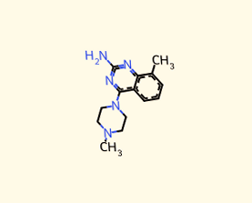 Cc1cccc2c(N3CCN(C)CC3)nc(N)nc12